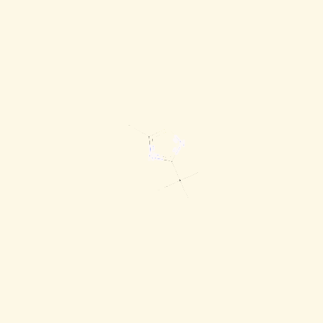 CC(C)c1nc(C(C)(C)C(C)(C)C)ns1